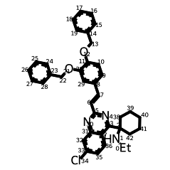 CCNC1(c2nc(C=Cc3ccc(OCc4ccccc4)c(OCc4ccccc4)c3)nc3cc(Cl)ccc23)CCCCC1